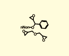 C(OCC1CO1)C1CO1.CCCCCCCCCOC(c1ccccc1)C1CO1